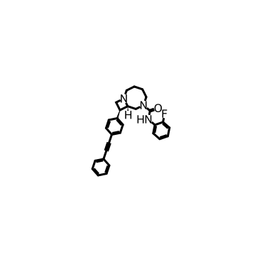 O=C(Nc1ccccc1F)N1CCCCN2C[C@H](c3ccc(C#Cc4ccccc4)cc3)[C@@H]2C1